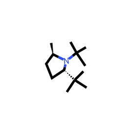 C[C@@H]1CC[C@@H](C(C)(C)C)N1C(C)(C)C